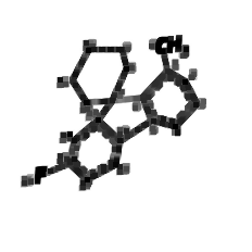 Cc1cccc2c1C1(CCCCC1)c1cc(F)ccc1-2